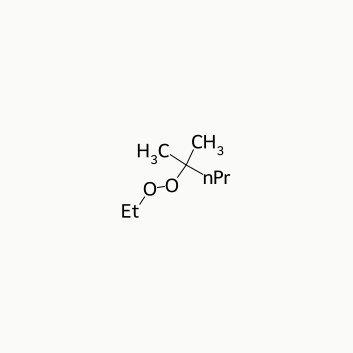 [CH2]COOC(C)(C)CCC